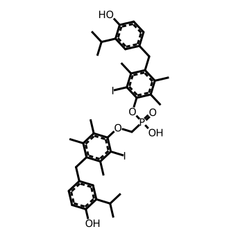 Cc1c(C)c(OCP(=O)(O)Oc2c(C)c(C)c(Cc3ccc(O)c(C(C)C)c3)c(C)c2I)c(I)c(C)c1Cc1ccc(O)c(C(C)C)c1